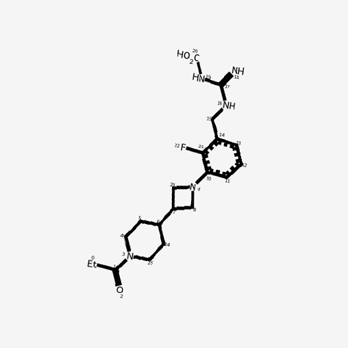 CCC(=O)N1CCC(C2CN(c3cccc(CNC(=N)NC(=O)O)c3F)C2)CC1